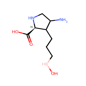 NC1CN[C@H](C(=O)O)C1CCCBO